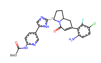 COC(=O)Nc1ccc(-c2cnc([C@@H]3CCC4CC(c5c(N)ccc(Cl)c5F)=CC(=O)N43)[nH]2)cn1